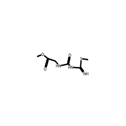 COC(=O)CNC(=O)NC(=N)SC